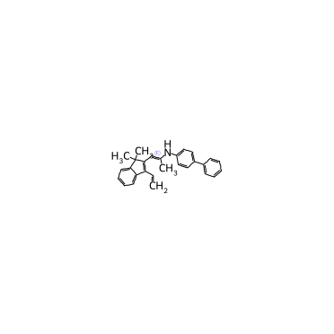 C=CC1=C(/C=C(\C)Nc2ccc(-c3ccccc3)cc2)C(C)(C)c2ccccc21